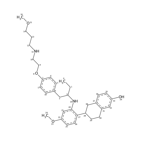 CCC(Cc1ccc(OCCNCCCOC)cc1)Nc1cc(OC)ccc1C1CCc2cc(O)ccc2C1